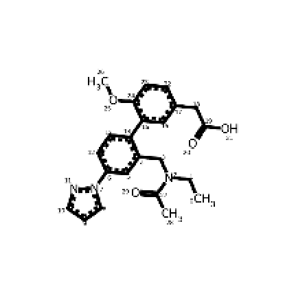 CCN(Cc1cc(-n2cccn2)ccc1-c1cc(CC(=O)O)ccc1OC)C(C)=O